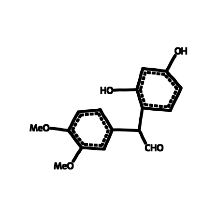 COc1ccc(C(C=O)c2ccc(O)cc2O)cc1OC